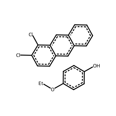 CCOc1ccc(O)cc1.Clc1ccc2cc3ccccc3cc2c1Cl